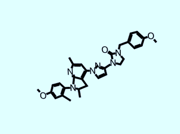 COc1ccc(CN2CCN(c3ccn(-c4cc(C)nc5c4CC(C)N5c4ccc(OC)cc4C)n3)C2=O)cc1